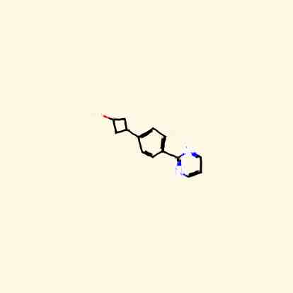 OC1CC(c2ccc(-c3ncccn3)cc2)C1